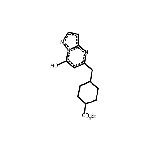 CCOC(=O)C1CCC(Cc2cc(O)n3nccc3n2)CC1